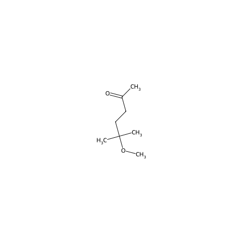 COC(C)(C)CCC(C)=O